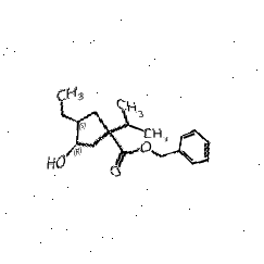 CC[C@H]1CC(C(=O)OCc2ccccc2)(C(C)C)C[C@H]1O